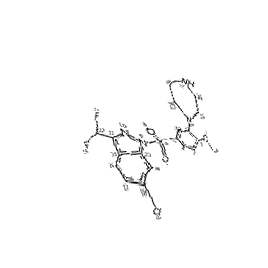 COc1ccc(S(=O)(=O)n2nc(C(F)F)c3ccc(Cl)cc32)cc1N1CCNCC1